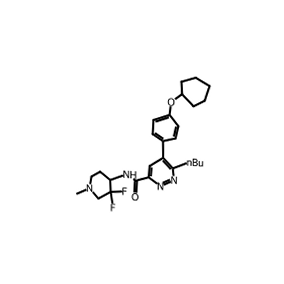 CCCCc1nnc(C(=O)NC2CCN(C)CC2(F)F)cc1-c1ccc(OC2CCCCC2)cc1